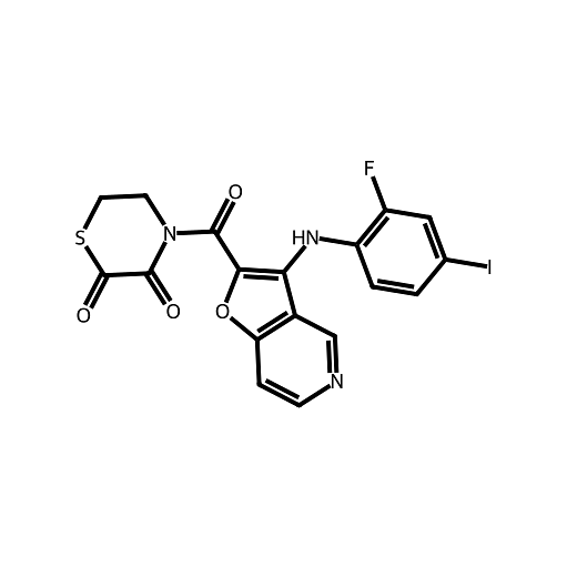 O=C1SCCN(C(=O)c2oc3ccncc3c2Nc2ccc(I)cc2F)C1=O